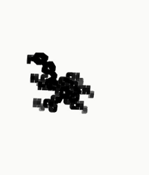 CC(=O)OC[C@H]1O[C@@H](Oc2n[nH]c(C)c2Cc2ccc(-c3cccc(F)c3)cc2)[C@H](OC(C)=O)[C@@H](OC(C)=O)[C@@H]1OC(C)=O